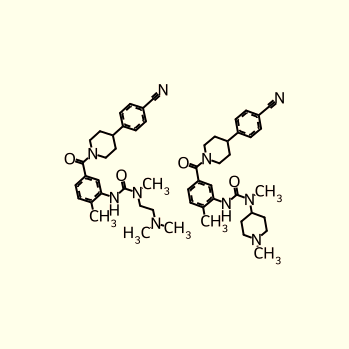 Cc1ccc(C(=O)N2CCC(c3ccc(C#N)cc3)CC2)cc1NC(=O)N(C)C1CCN(C)CC1.Cc1ccc(C(=O)N2CCC(c3ccc(C#N)cc3)CC2)cc1NC(=O)N(C)CCN(C)C